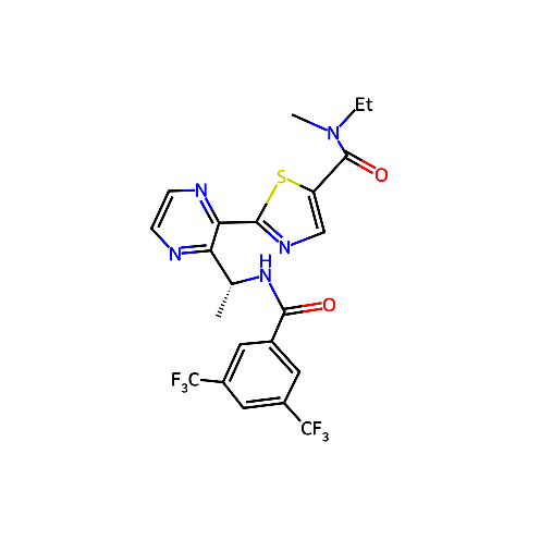 CCN(C)C(=O)c1cnc(-c2nccnc2[C@@H](C)NC(=O)c2cc(C(F)(F)F)cc(C(F)(F)F)c2)s1